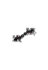 CC(C)(C)C(NC(=O)C(C)(O)C1(C)CC1)c1nc(-c2ccc(-c3ccc(-c4c[nH]c([C@@H](NC(=O)C(C)(O)C5(C)CC5)C(C)(C)C)n4)cc3)cc2)c[nH]1